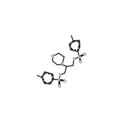 Cc1ccc(S(=O)(=O)SCC(CSS(=O)(=O)c2ccc(C)cc2)N2CCOCC2)cc1